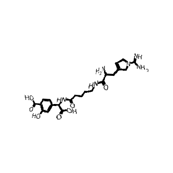 N=C(N)N1CC=C(CC(N)C(=O)NCCCCC(=O)NC(C(=O)O)c2ccc(C(=O)O)c(O)c2)C1